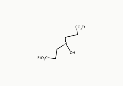 CCOC(=O)CCN(O)CCC(=O)OCC